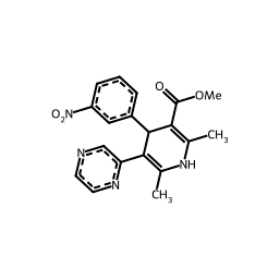 COC(=O)C1=C(C)NC(C)=C(c2cnccn2)C1c1cccc([N+](=O)[O-])c1